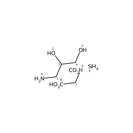 NCC(O)CO.O=C(O)CC(=O)O.[SiH4]